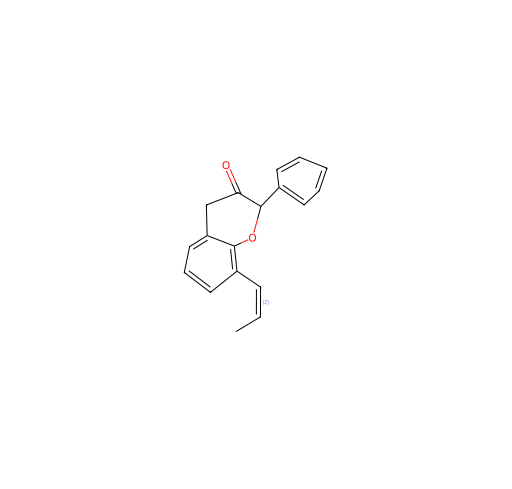 C/C=C\c1cccc2c1OC(c1ccccc1)C(=O)C2